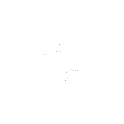 FC(F)(F)C(F)(F)C(F)(F)C(F)(F)C(F)(F)C(F)(F)CCC1(CCC(F)(F)C(F)(F)C(F)(F)C(F)(F)C(F)(F)C(F)(F)F)COC(c2ccc(C3OCC(CCC(F)(F)C(F)(F)C(F)(F)C(F)(F)C(F)(F)C(F)(F)F)(CCC(F)(F)C(F)(F)C(F)(F)C(F)(F)C(F)(F)C(F)(F)F)CO3)cc2)OC1